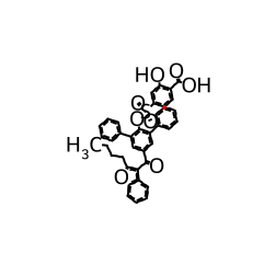 CCCCc1oc2ccccc2c1C(=O)c1cc(-c2ccccc2)c(OS(=O)(=O)c2ccc(C(=O)O)c(O)c2)c(-c2ccccc2)c1